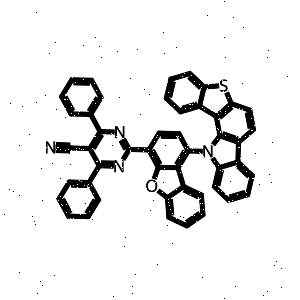 N#Cc1c(-c2ccccc2)nc(-c2ccc(-n3c4ccccc4c4ccc5sc6ccccc6c5c43)c3c2oc2ccccc23)nc1-c1ccccc1